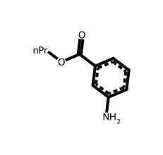 CCCOC(=O)c1cccc(N)c1